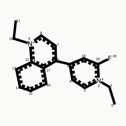 CC[n+]1ccc(-c2cc[n+](CC)c3ccccc23)cc1F